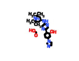 CC1(C)CC(Nc2cnc(-c3ccc(-n4ccnc4)cc3O)cn2)CC(C)(C)N1.O=CO